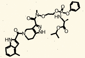 Cc1cccc2[nH]c(C(=O)N3CCc4[nH]nc(C(=O)N(C)OCCOP(=O)(N[C@@H](C)C(=O)OC(C)C)Oc5ccccc5)c4C3)cc12